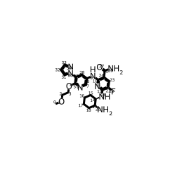 COCCOc1ncc(Nc2nc(N[C@@H]3CCCC[C@@H]3N)c(F)cc2C(N)=O)cc1-n1cccn1